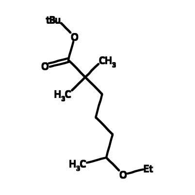 CCOC(C)CCCC(C)(C)C(=O)OC(C)(C)C